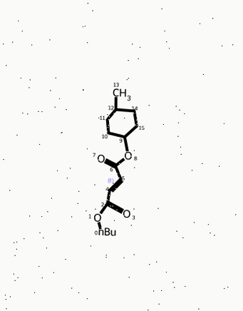 CCCCOC(=O)/C=C/C(=O)OC1CCC(C)CC1